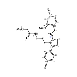 COCC(=O)NCCCn1c(-c2ccc(F)cc2)cs/c1=N\Cc1ccc(Cl)cc1OC